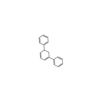 C1=C[C](c2ccccc2)CC(c2ccccc2)=C1